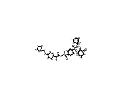 O=C(CNC(=O)c1ccc(S(=O)(=O)N(Oc2ccc(F)cc2Cl)c2ccccc2)cc1)NC1CCC(CCN2CCCC2)CC1